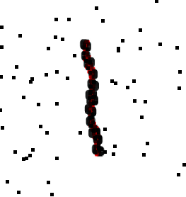 C=CC(=O)OCCCCCCOc1ccc(C(=O)OC2=CC=C(C3CCC(OCCCCCCOC(=O)CCCCCOC(=O)CCC(=O)OCCCCCC(=O)OCCCCCCOC4CCC(c5ccc(OC(=O)c6ccc(OCCCCCCOC(=O)C=C)cc6)cc5)CC4)CC3)CC2)cc1